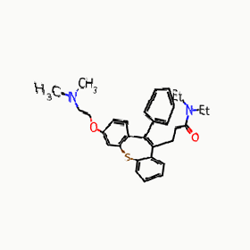 CCN(CC)C(=O)CCC1=C(c2ccccc2)c2ccc(OCCN(C)C)cc2Sc2ccccc21